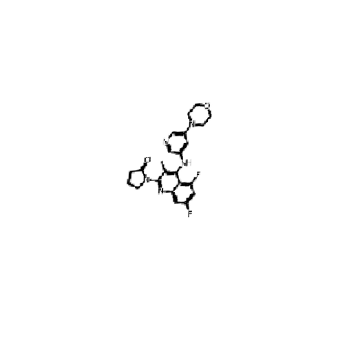 Cc1c(N2CCCC2=O)nc2cc(F)cc(F)c2c1Nc1cncc(N2CCOCC2)c1